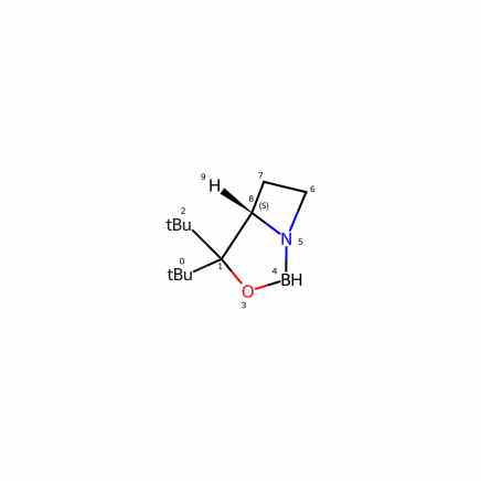 CC(C)(C)C1(C(C)(C)C)OBN2CC[C@H]21